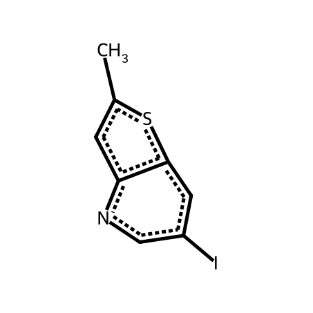 Cc1cc2ncc(I)cc2s1